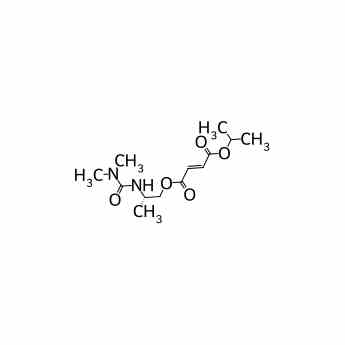 CC(C)OC(=O)/C=C/C(=O)OC[C@H](C)NC(=O)N(C)C